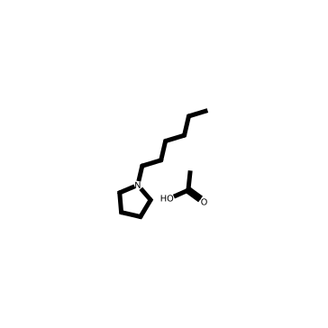 CC(=O)O.CCCCCCN1CCCC1